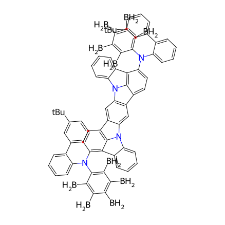 Bc1c(B)c(B)c(N(c2ccccc2-c2cccc(C(C)(C)C)c2)c2ccc3c4cc5c(cc4n4c6ccccc6c2c34)c2ccc(N(c3ccccc3-c3cccc(C(C)(C)C)c3)c3c(B)c(B)c(B)c(B)c3B)c3c4ccccc4n5c23)c(B)c1B